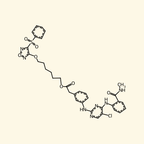 CNC(=O)c1ccccc1Nc1nc(Nc2cccc(CC(=O)OCCCCCCOc3nonc3S(=O)(=O)c3ccccc3)c2)ncc1Cl